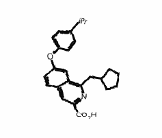 CC(C)c1ccc(Oc2ccc3cc(C(=O)O)nc(CC4CCCC4)c3c2)cc1